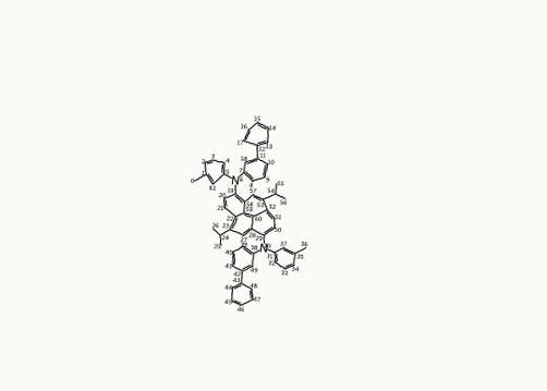 Cc1cccc(N(c2cccc(-c3ccccc3)c2)c2ccc3c(C(C)C)cc4c(N(c5cccc(C)c5)c5cccc(-c6ccccc6)c5)ccc5c(C(C)C)cc2c3c54)c1